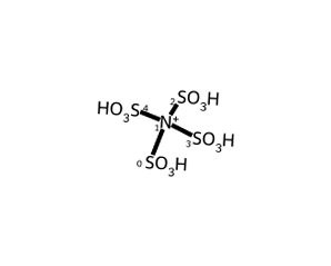 O=S(=O)(O)[N+](S(=O)(=O)O)(S(=O)(=O)O)S(=O)(=O)O